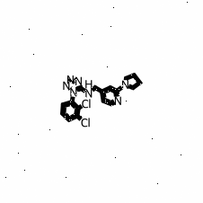 Clc1cccc(-n2nnnc2NCc2ccnc(N3CCCC3)c2)c1Cl